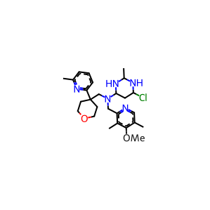 COc1c(C)cnc(CN(CC2(c3cccc(C)n3)CCOCC2)C2CC(Cl)NC(C)N2)c1C